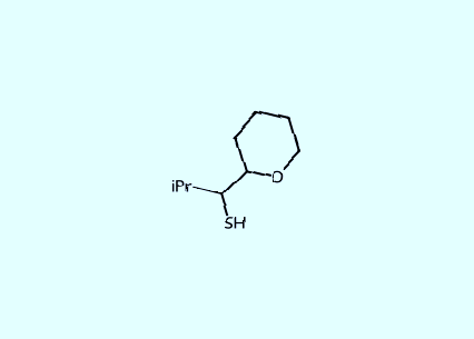 CC(C)C(S)C1CCCCO1